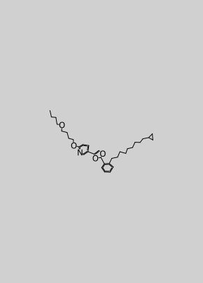 CCCCOCCCCOc1ccc(C2=COC(c3ccccc3CCCCCCCCCC3CC3)O2)cn1